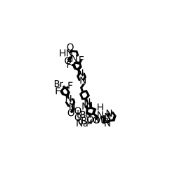 CC(C)(C)OC(=O)N1CCN(c2cc(F)c(Br)c(F)c2)CC1.CC(C)(C)[O-].COc1cc2nn(C3CCC(CCN4CCN(c5cc(F)c(N6CCC(=O)NC6=O)c(F)c5)CC4)CC3)cc2cc1C(=O)Nc1cnc2cccnn12.[Na+]